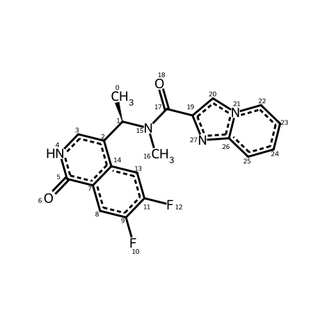 C[C@H](c1c[nH]c(=O)c2cc(F)c(F)cc12)N(C)C(=O)c1cn2ccccc2n1